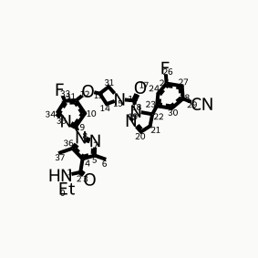 CCNC(=O)c1c(C)nn(-c2cc(OC3CN(C(=O)N4N=CCC4c4cc(F)cc(C#N)c4)C3)c(F)cn2)c1C